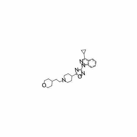 c1ccc2c(c1)c(C1CC1)nn2-c1noc(C2CCN(CCC3CCOCC3)CC2)n1